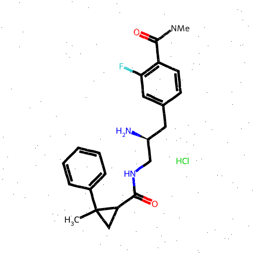 CNC(=O)c1ccc(C[C@H](N)CNC(=O)C2CC2(C)c2ccccc2)cc1F.Cl